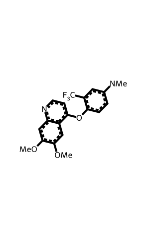 CNc1ccc(Oc2ccnc3cc(OC)c(OC)cc23)c(C(F)(F)F)c1